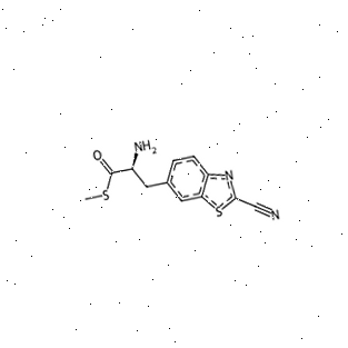 CSC(=O)[C@@H](N)Cc1ccc2nc(C#N)sc2c1